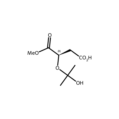 COC(=O)[C@@H](CC(=O)O)OC(C)(C)O